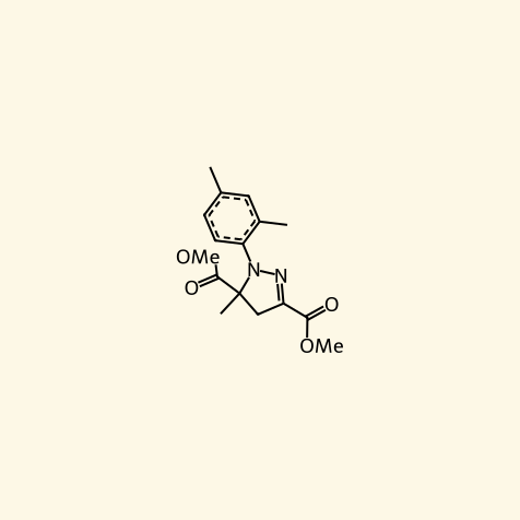 COC(=O)C1=NN(c2ccc(C)cc2C)C(C)(C(=O)OC)C1